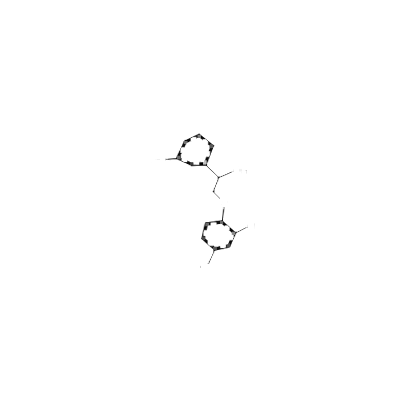 Oc1cccc(C(O)COc2ccc(Cl)cc2Cl)c1